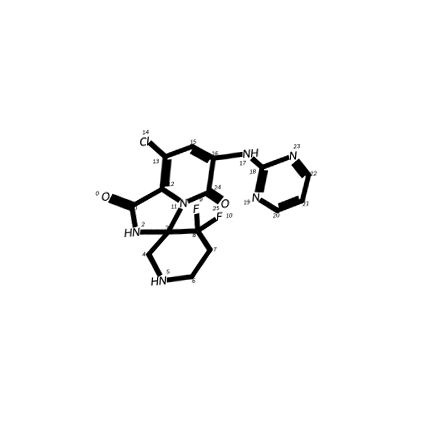 O=C1NC2(CNCCC2(F)F)n2c1c(Cl)cc(Nc1ncccn1)c2=O